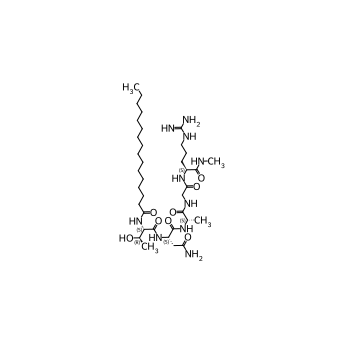 CCCCCCCCCCCCCCCC(=O)N[C@H](C(=O)N[C@@H](CC(N)=O)C(=O)N[C@@H](C)C(=O)NCC(=O)N[C@@H](CCCNC(=N)N)C(=O)NC)[C@@H](C)O